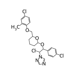 Cc1cc(Cl)ccc1OCC1CCCC(OC(c2ccc(Cl)cc2)C(Cl)n2cncn2)O1